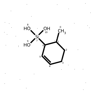 CC1CCC=CC1[Si](O)(O)O